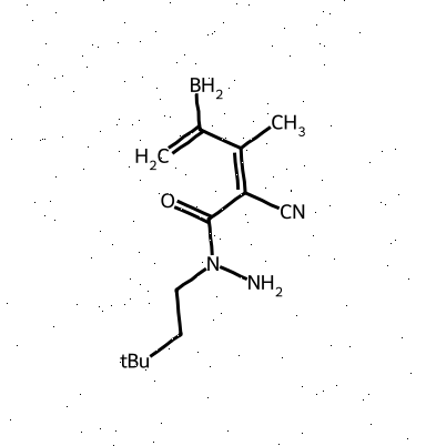 BC(=C)/C(C)=C(/C#N)C(=O)N(N)CCC(C)(C)C